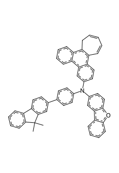 CC1(C)c2ccccc2-c2ccc(-c3ccc(N(c4ccc5oc6ccccc6c5c4)c4ccc5c6c(c7ccccc7c5c4)CC=CC=C6)cc3)cc21